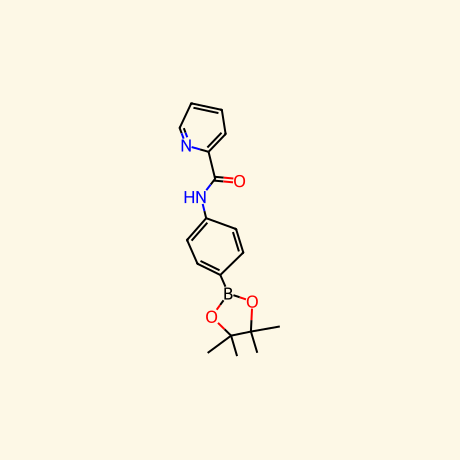 CC1(C)OB(c2ccc(NC(=O)c3ccccn3)cc2)OC1(C)C